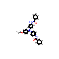 COc1ccc(N(c2ccc(NC(=O)C3CCCCC3)cc2)c2ccc(NC(=O)C3CCCCC3)cc2)cc1